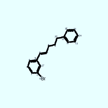 Brc1cccc(/C=C/CCCc2ccccc2)c1